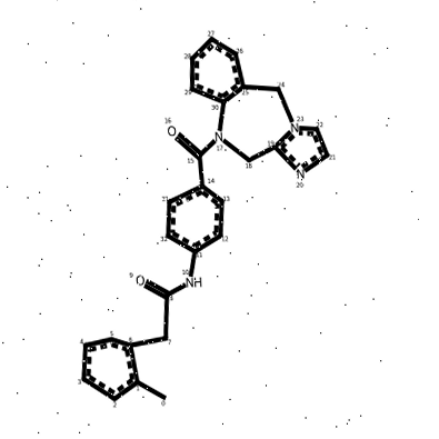 Cc1ccccc1CC(=O)Nc1ccc(C(=O)N2Cc3nccn3Cc3ccccc32)cc1